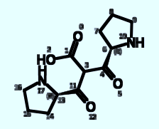 O=C(O)C(C(=O)[C@H]1CCCN1)C(=O)[C@H]1CCCN1